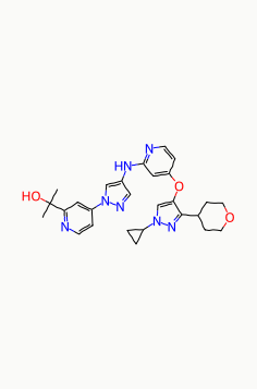 CC(C)(O)c1cc(-n2cc(Nc3cc(Oc4cn(C5CC5)nc4C4CCOCC4)ccn3)cn2)ccn1